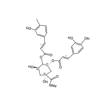 CNC(=O)[C@@]1(O)C[C@@H](O)C(OC(=O)/C=C/c2ccc(C)c(O)c2)[C@H](OC(=O)/C=C/c2ccc(O)c(O)c2)C1